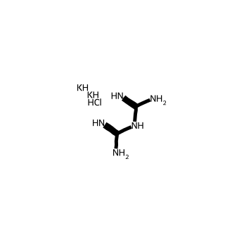 Cl.N=C(N)NC(=N)N.[KH].[KH]